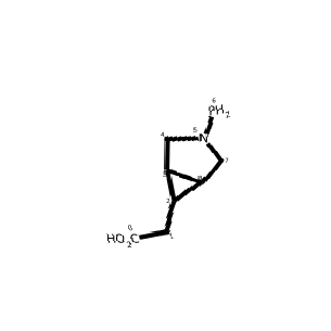 O=C(O)CC1C2CN(P)CC12